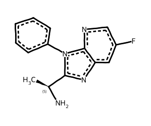 C[C@H](N)c1nc2cc(F)cnc2n1-c1ccccc1